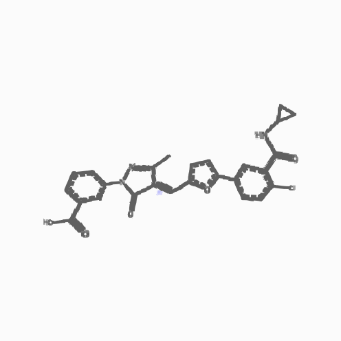 CC1=NN(c2cccc(C(=O)O)c2)C(=O)/C1=C/c1ccc(-c2ccc(Cl)c(C(=O)NC3CC3)c2)o1